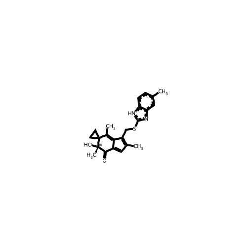 CC1=C(CSc2nc3cc(C)ccc3[nH]2)C2=C(C)C3(CC3)[C@@](C)(O)C(=O)C2=C1